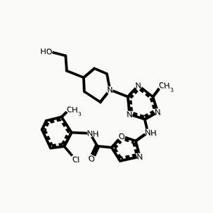 Cc1nc(Nc2ncc(C(=O)Nc3c(C)cccc3Cl)o2)nc(N2CCC(CCO)CC2)n1